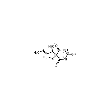 CC=CC(C)C1(CC)C(=O)NC(=S)NC1=O